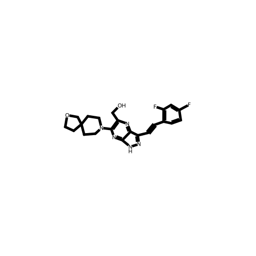 OCc1nc2c(C#Cc3ccc(F)cc3F)n[nH]c2nc1N1CCC2(CCOC2)CC1